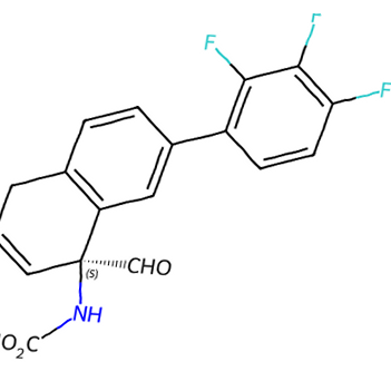 O=C[C@]1(NC(=O)O)C=CCc2ccc(-c3ccc(F)c(F)c3F)cc21